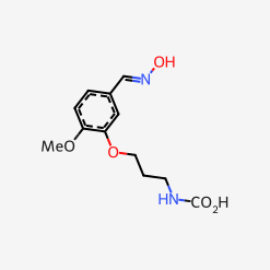 COc1ccc(/C=N/O)cc1OCCCNC(=O)O